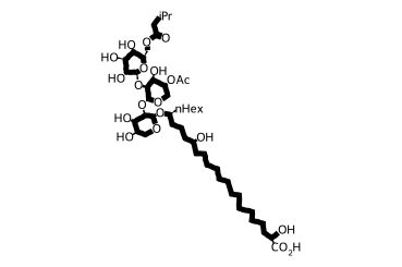 CCCCCC[C@H](CCC[C@@H](O)CCCCCCCCCCCCC[C@H](O)C(=O)O)O[C@H]1OC[C@H](O)[C@@H](O)[C@@H]1O[C@H]1OC[C@H](OC(C)=O)[C@@H](O)[C@@H]1O[C@H]1O[C@@H](COC(=O)CC(C)C)[C@H](O)[C@@H](O)[C@@H]1O